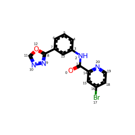 O=C(Nc1cccc(-c2nnco2)c1)c1cc(Br)ccn1